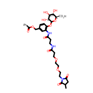 CC(C)C(=O)OCc1ccc(OC2O[C@H](C(=O)O)[C@@H](O)[C@H](O)[C@H]2O)c(NC(=O)CCNC(=O)CCOCCOCCN2C(=O)CC(C)C2=O)c1